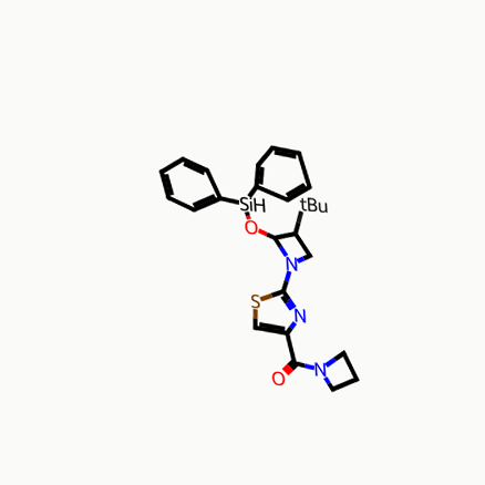 CC(C)(C)C1CN(c2nc(C(=O)N3CCC3)cs2)C1O[SiH](c1ccccc1)c1ccccc1